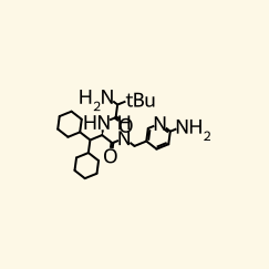 CC(C)(C)C(N)C(=O)N[C@@H](C(=O)NCc1ccc(N)nc1)C(C1CCCCC1)C1CCCCC1